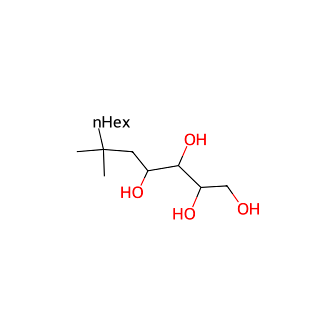 CCCCCCC(C)(C)CC(O)C(O)C(O)CO